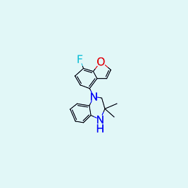 CC1(C)CN(c2ccc(F)c3occc23)c2ccccc2N1